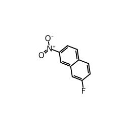 O=[N+]([O-])c1ccc2ccc(F)cc2c1